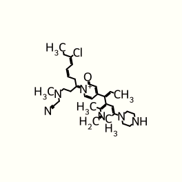 C=N/C(C)=C(\C=C(/C)N1CCNCC1)C(=C\C)/C1=CC(=O)/[N+](=C(\C/C=C\C=C(\Cl)CC)CCN(C)CC#N)C=C1